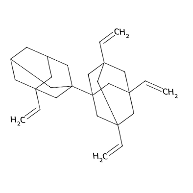 C=CC12CC3CC(C1)CC(C14CC5(C=C)CC(C=C)(CC(C=C)(C5)C1)C4)(C3)C2